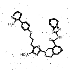 Nc1ncccc1-c1ccc(OCCCc2sc(N3CCc4cccc(C(=O)Nc5nc6ccccc6s5)c4C3)nc2C(=O)O)cc1